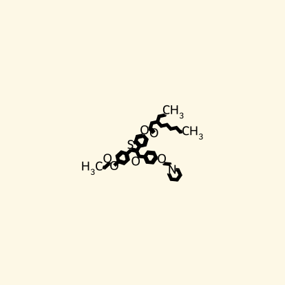 CCCCCCC(CCC)CC(=O)Oc1ccc2c(C(=O)c3ccc(OCCN4CCCCC4)cc3)c(-c3ccc(OC(=O)CC)cc3)sc2c1